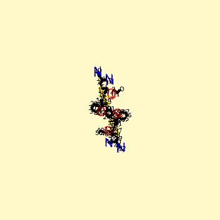 CCCOc1cc(C=C(C#N)C#N)sc1-c1cc2c(s1)-c1cc3c(cc1OC21CCCCC1)-c1sc(-c2sc(C=C(C#N)C#N)cc2OCCC)cc1C1(CCCCC1)O3